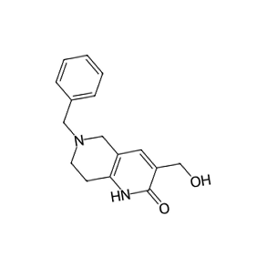 O=c1[nH]c2c(cc1CO)CN(Cc1ccccc1)CC2